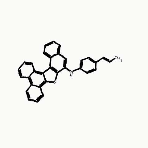 C/C=C/c1ccc(Nc2cc3ccccc3c3c2sc2c4ccccc4c4ccccc4c23)cc1